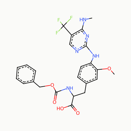 CNc1nc(Nc2ccc(CC(NC(=O)OCc3ccccc3)C(=O)O)cc2OC)ncc1C(F)(F)F